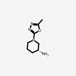 Cc1nnc(N2CCC[C@@H](N)C2)o1